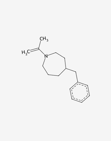 C=C(C)N1CCCC(Cc2ccccc2)CC1